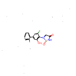 Cc1ccccc1-c1cc(O)c(N2CC(=O)N[S+]2[O-])c(F)c1